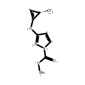 CC(C)(C)OC(=O)n1ccc(OC2=C[C@@H]2C(F)(F)F)n1